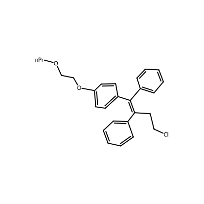 CCCOCCOc1ccc(/C(=C(/CCCl)c2ccccc2)c2ccccc2)cc1